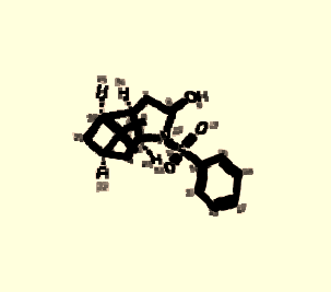 CC1(C)[C@H]2C[C@H]3[C@H](CC(O)N3S(=O)(=O)c3ccccc3)[C@@H]1C2